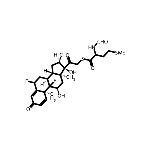 CSCCC(NC=O)C(=O)SCC(=O)[C@@]1(O)[C@H](C)C[C@H]2[C@@H]3CC(F)C4=CC(=O)C=C[C@]4(C)C3(F)[C@H](O)C[C@@]21C